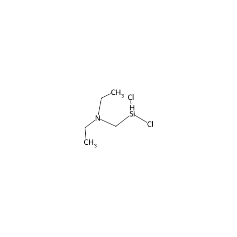 CCN(CC)C[SiH](Cl)Cl